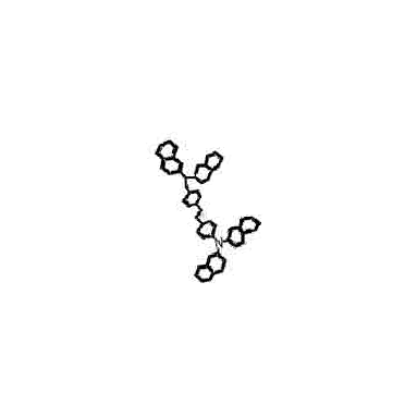 C(=C\c1ccc(N(c2ccc3ccccc3c2)c2ccc3ccccc3c2)cc1)/c1ccc(CC(c2ccc3ccccc3c2)c2ccc3ccccc3c2)cc1